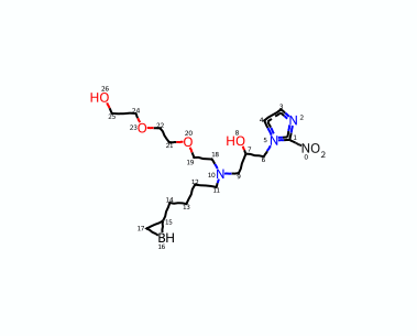 O=[N+]([O-])c1nccn1CC(O)CN(CCCCC1BC1)CCOCCOCCO